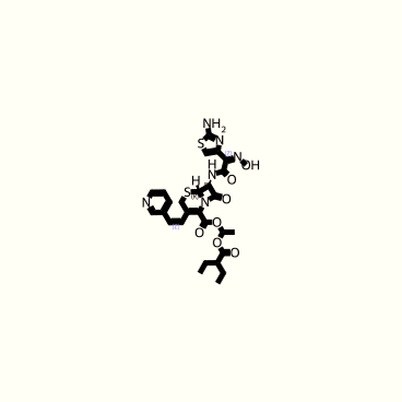 CCC(CC)C(=O)OC(C)OC(=O)C1=C(/C=C\c2cccnc2)CS[C@@H]2[C@H](NC(=O)/C(=N\O)c3csc(N)n3)C(=O)N12